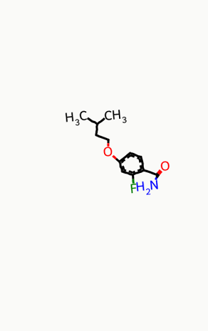 CC(C)CCOc1ccc(C(N)=O)c(F)c1